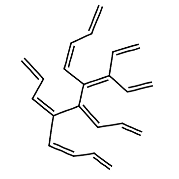 C=CC=C(/C=C\C=C)/C(=C/C=C)C(/C=C\C=C)=C(C=C)C=C